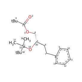 CC(C)(C)C(=O)OC[C@H](CCc1ccccc1)O[Si](C)(C)C(C)(C)C